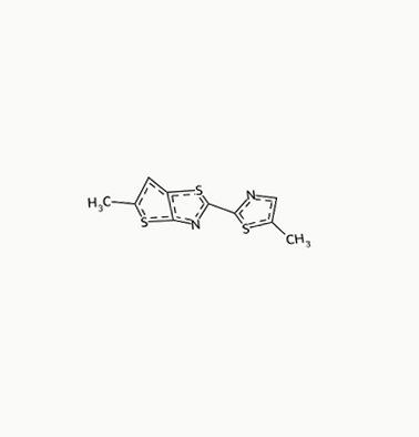 Cc1cnc(-c2nc3sc(C)cc3s2)s1